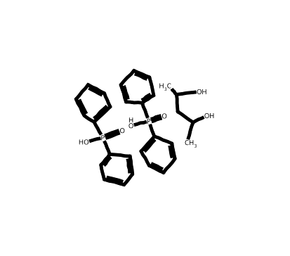 CC(O)CC(C)O.O=P(O)(c1ccccc1)c1ccccc1.O=P(O)(c1ccccc1)c1ccccc1